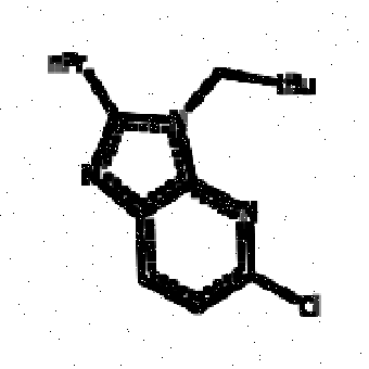 CCCc1nc2ccc(Cl)nc2n1CC(C)(C)C